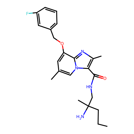 CCCC(C)(N)CNC(=O)c1c(C)nc2c(OCc3cccc(F)c3)cc(C)cn12